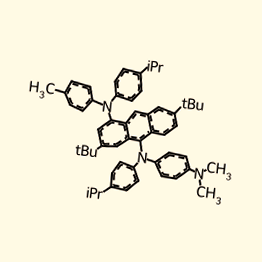 Cc1ccc(N(c2ccc(C(C)C)cc2)c2cc(C(C)(C)C)cc3c(N(c4ccc(C(C)C)cc4)c4ccc(N(C)C)cc4)c4ccc(C(C)(C)C)cc4cc23)cc1